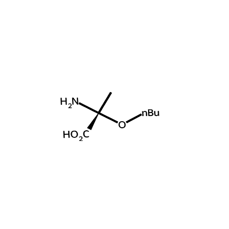 CCCCO[C@@](C)(N)C(=O)O